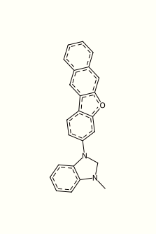 CN1CN(c2ccc3c(c2)oc2cc4ccccc4cc23)c2ccccc21